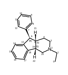 CCN1CC[C@H]2[C@H](c3ccccc3)c3ccccc3[C@H]2C1